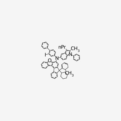 CCCc1c(C)n(-c2ccccc2)c2ccc(N(c3ccc(-c4ccccc4)c(I)c3)c3cc4c(c5c3oc3ccccc35)-c3ccccc3C4(C3=CC=CCC3C)C3CCCCC3)cc12